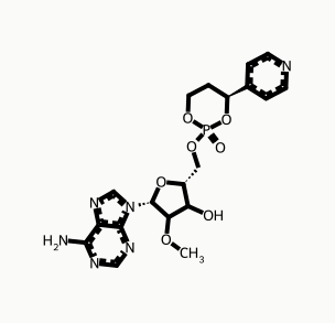 COC1C(O)[C@@H](COP2(=O)OCC[C@@H](c3ccncc3)O2)O[C@H]1n1cnc2c(N)ncnc21